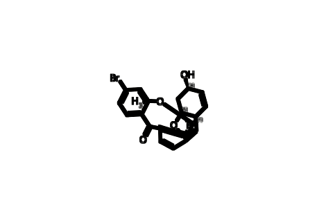 COC1C[C@@]23C=C[C@H](O)C[C@@H]2Oc2cccc(c23)CN1C(=O)c1ccc(Br)cc1